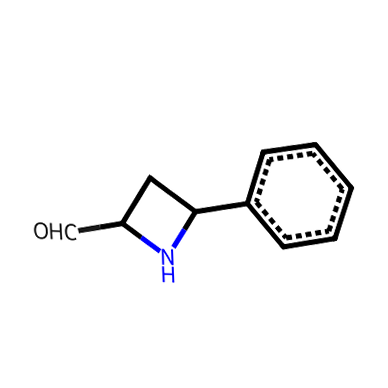 O=CC1CC(c2ccccc2)N1